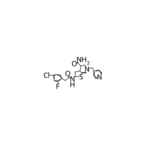 NC(=O)C1CN(Cc2ccncc2)C=C2SC(NC(=O)Cc3ccc(Cl)cc3F)CC21